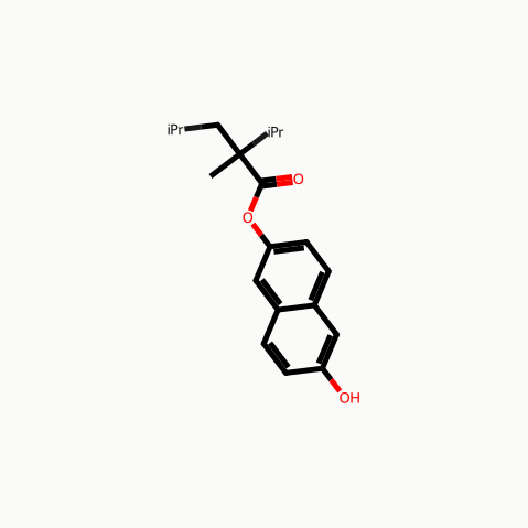 CC(C)CC(C)(C(=O)Oc1ccc2cc(O)ccc2c1)C(C)C